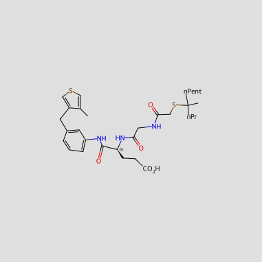 CCCCCC(C)(CCC)SCC(=O)NCC(=O)N[C@@H](CCC(=O)O)C(=O)Nc1cccc(Cc2cscc2C)c1